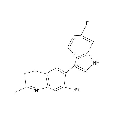 CCc1cc2c(cc1-c1c[nH]c3cc(F)ccc13)CCC(C)=N2